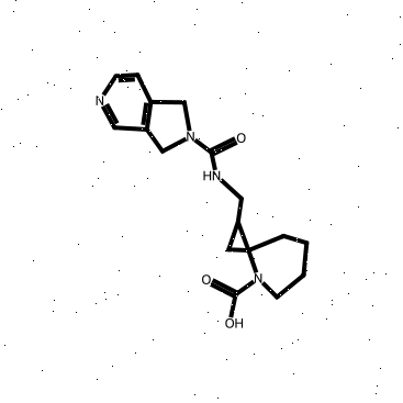 O=C(NCC1CC12CCCCN2C(=O)O)N1Cc2ccncc2C1